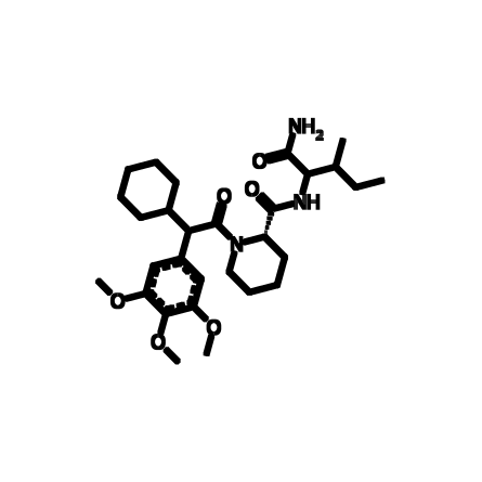 CCC(C)C(NC(=O)[C@@H]1CCCCN1C(=O)C(c1cc(OC)c(OC)c(OC)c1)C1CCCCC1)C(N)=O